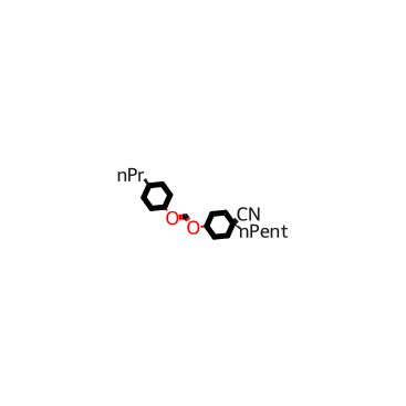 CCCCC[C@]1(C#N)CC[C@H](OCO[C@H]2CC[C@H](CCC)CC2)CC1